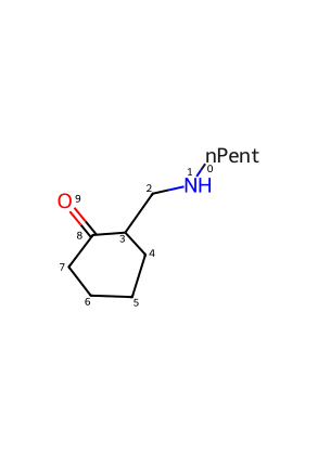 CCCCCNCC1CCCCC1=O